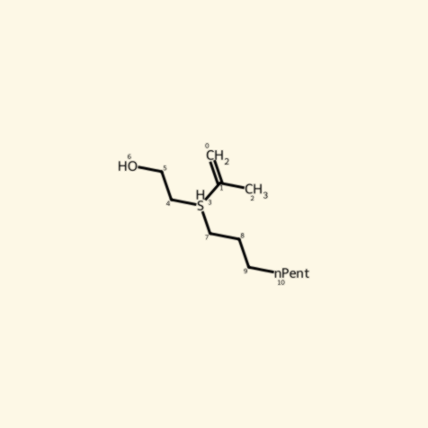 C=C(C)[SH](CCO)CCCCCCCC